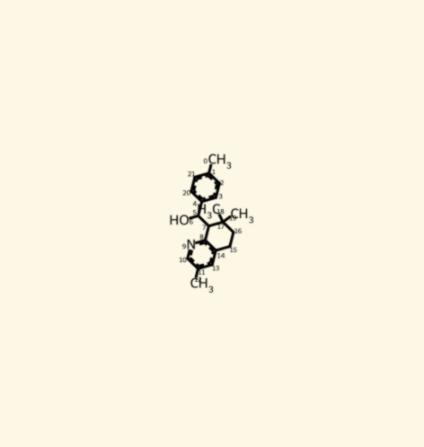 Cc1ccc(C(O)C2c3ncc(C)cc3CCC2(C)C)cc1